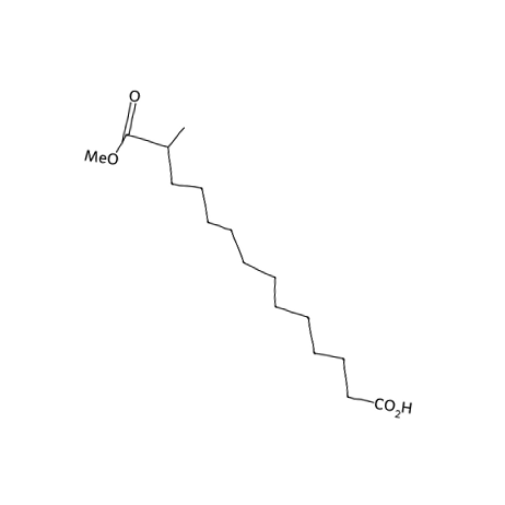 COC(=O)C(C)CCCCCCCCCCCC(=O)O